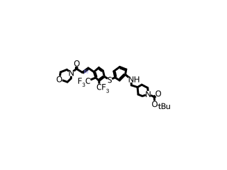 CC(C)(C)OC(=O)N1CCC(CNc2cccc(Sc3ccc(/C=C/C(=O)N4CCOCC4)c(C(F)(F)F)c3C(F)(F)F)c2)CC1